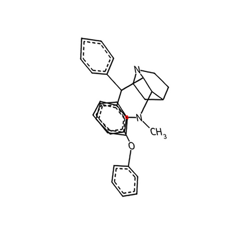 CN(c1ccccc1Oc1ccccc1)C1C2CCN(CC2)C1C(c1ccccc1)c1ccccc1